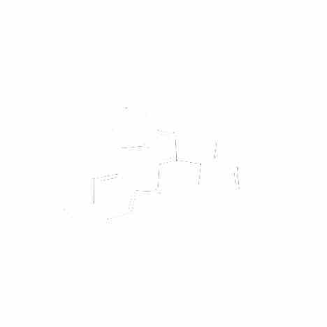 N#Cc1ccc(Nc2c(-c3ccc(O)c(O)c3O)nc3ccccn23)cc1